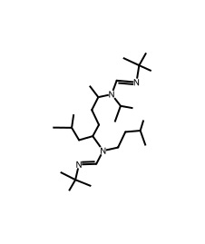 CC(C)CCN(/C=N/C(C)(C)C)C(CCC(C)N(/C=N/C(C)(C)C)C(C)C)CC(C)C